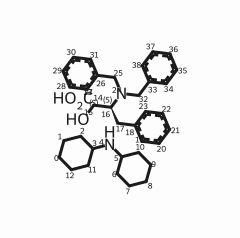 C1CCC(NC2CCCCC2)CC1.O=C(O)[C@@H](O)[C@H](Cc1ccccc1)N(Cc1ccccc1)Cc1ccccc1